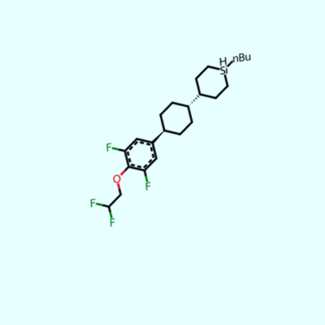 CCCC[SiH]1CCC([C@H]2CC[C@H](c3cc(F)c(OCC(F)F)c(F)c3)CC2)CC1